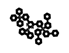 c1ccc(-c2cccc([Si](c3cccc(-c4ccccc4)c3)(c3cccc(-c4ccccc4)c3)c3cccc(-c4cc(-c5cccc([Si](c6ccccc6)(c6ccccc6)c6ccccc6)c5)nc(-n5c6ccccc6c6ccccc65)n4)c3)c2)cc1